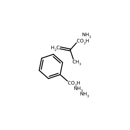 C=C(C)C(=O)O.N.N.N.O=C(O)c1ccccc1